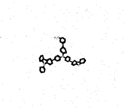 Cc1cccc(-c2ccc(N(c3ccc(-c4ccc5sc6ccccc6c5c4)cc3)c3ccc(-c4ccc5c(c4)c4ccccc4n5-c4ccccc4)cc3)cc2)c1